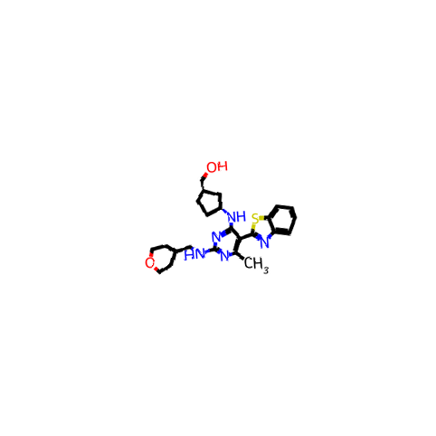 Cc1nc(NCC2CCOCC2)nc(N[C@H]2CC[C@@H](CO)C2)c1-c1nc2ccccc2s1